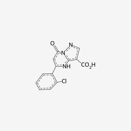 O=C(O)c1cnn2c(=O)cc(-c3ccccc3Cl)[nH]c12